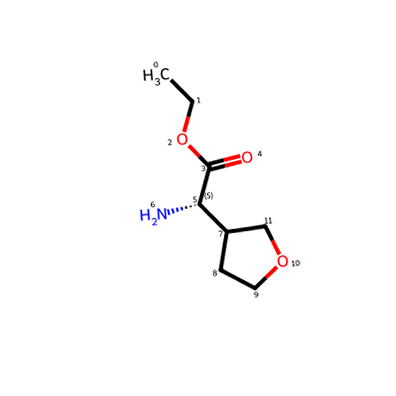 CCOC(=O)[C@@H](N)C1CCOC1